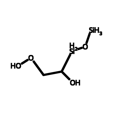 OOCC(O)[SiH2]O[SiH3]